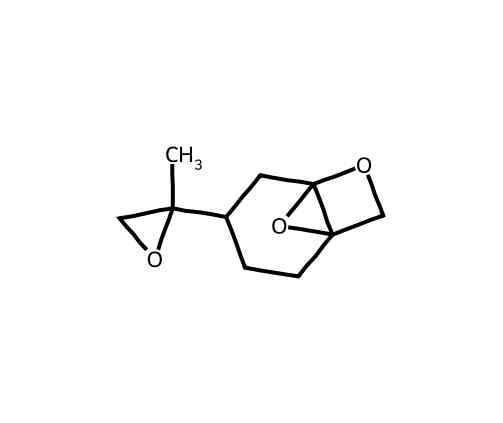 CC1(C2CCC34COC3(C2)O4)CO1